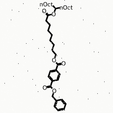 CCCCCCCCC(CCCCCCCC)OC(=O)CCCCCCCCOC(=O)c1ccc(C(=O)OCc2ccccc2)cc1